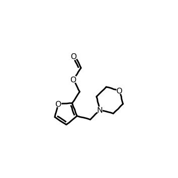 O=COCc1occc1CN1CCOCC1